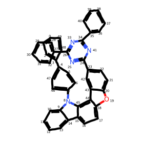 c1ccc(-c2ccc(-n3c4ccccc4c4ccc5oc6ccc(-c7nc(-c8ccccc8)nc(-c8ccccc8)n7)cc6c5c43)cc2)cc1